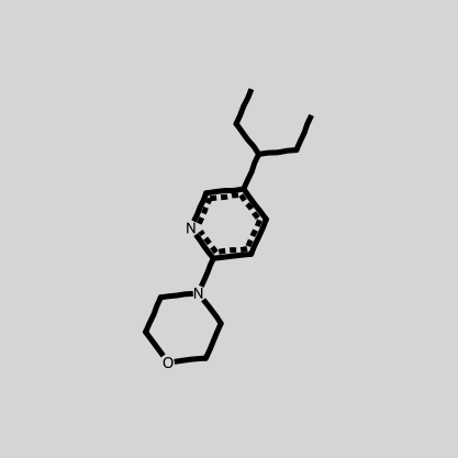 CCC(CC)c1ccc(N2CCOCC2)nc1